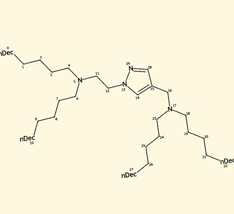 CCCCCCCCCCCCCCN(CCCCCCCCCCCCCC)CCn1cc(CN(CCCCCCCCCCCCCC)CCCCCCCCCCCCCC)cn1